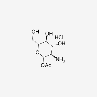 CC(=O)OC1O[C@H](CO)[C@@H](O)[C@H](O)[C@H]1N.Cl